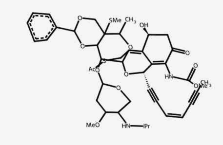 CC#C/C=C\C#C[C@H](OC1OC(C)C2(SC)COC(c3ccccc3)OC2C1OC1CC(OC)C(NC(C)C)CO1)C1=C(NC(=O)OC)C(=O)C[C@H](O)/C1=C/CSC(C)=O